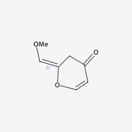 CO/C=C1\CC(=O)C=CO1